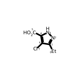 CCc1n[nH]c(C(=O)O)c1Cl